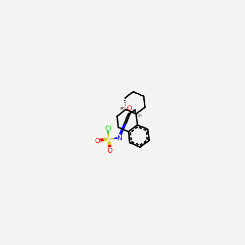 O=S(=O)(Cl)N=C1C[C@]23CCCC[C@]2(CCc2ccccc23)O1